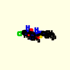 CN(C)C(=O)C(CNC(=O)C(=O)Nc1ccc(Cl)cn1)NC(=O)c1nc2c(s1)CN(C(C)(C)C)CC2